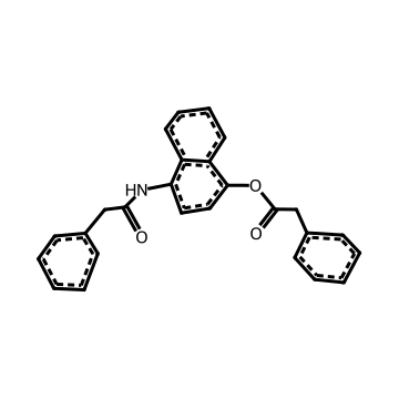 O=C(Cc1ccccc1)Nc1ccc(OC(=O)Cc2ccccc2)c2ccccc12